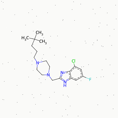 CC(C)(C)CCCN1CCN(Cc2nc3c(Cl)cc(F)cc3[nH]2)CC1